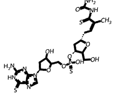 C/C(=C/C[C@H]1C[C@@H](OP(O)(=S)OCC2O[C@@H](n3cnc4c(=S)[nH]c(N)nc43)CC2O)C(CO)O1)C(=S)NC(N)=O